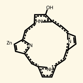 Oc1cc2cc3nc(cc4ccc(cc5nc(cc1[nH]2)C=C5)[nH]4)C=C3.[Zn]